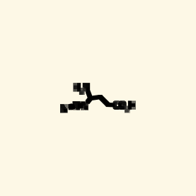 [N-]=[N+]=NC(N)CCC(=O)O